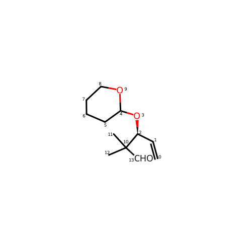 C=C[C@H](OC1CCCCO1)C(C)(C)C=O